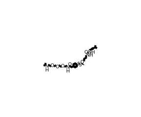 CC(C)C#CCNC(=O)NCCCCO[C@@H](C)SSc1ccc(CC(=O)NCCOCCOCCOCCNC(C)C)cc1